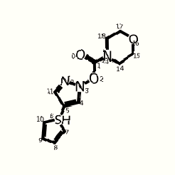 O=C(On1cc([SH]2C=CC=C2)cn1)N1CCOCC1